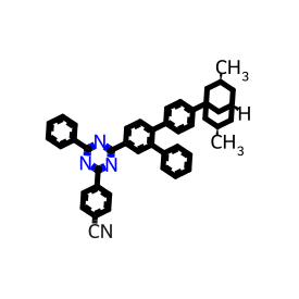 C[C@@H]1C[C@@H]2C[C@H](C)CC(c3ccc(-c4ccc(-c5nc(-c6ccccc6)nc(-c6ccc(C#N)cc6)n5)cc4-c4ccccc4)cc3)(C1)C2